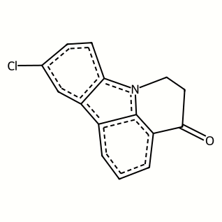 O=C1CCn2c3ccc(Cl)cc3c3cccc1c32